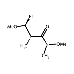 CC[C@H](OC)[C@@H](C)C(=O)N(C)OC